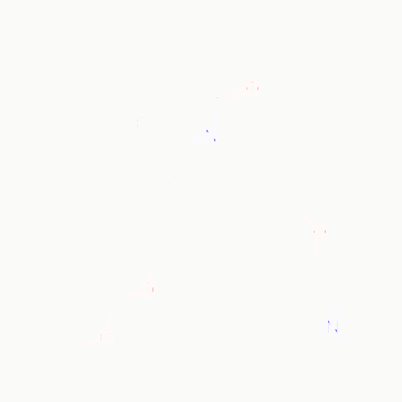 Cc1cccc(C(=O)N(c2ccc(OCCN3CCCC3)cc2)C(Cl)c2ccc(OC3CCCCO3)cc2)c1